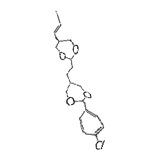 C/C=C/C1COC(CCC2COC(c3ccc(Cl)cc3)OC2)OC1